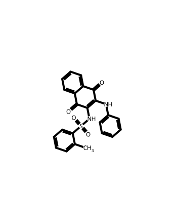 Cc1ccccc1S(=O)(=O)NC1=C(Nc2ccccc2)C(=O)c2ccccc2C1=O